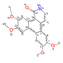 COc1cc2c(cc1OC)c1cc[nH]c(=O)c1c1cc(OC)c(OC)cc21